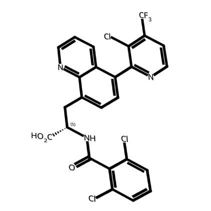 O=C(N[C@@H](Cc1ccc(-c2nccc(C(F)(F)F)c2Cl)c2cccnc12)C(=O)O)c1c(Cl)cccc1Cl